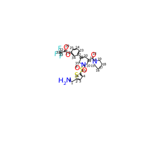 NCc1ccc(S(=O)(=O)N2C[C@@H](C(=O)N3CCCCC3)C[C@@H](c3cccc(OC(=O)C(F)(F)F)c3)C2)s1